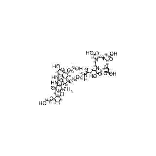 Cc1cn(Cc2c(Cl)cccc2OCCO)c(=O)c(NC(=O)NC(CC(=O)O)c2cccc(OCCO)c2)c1OCCOCCOCCNC(=O)CCC(C(=O)O)N1CCN(CC(=O)O)CCN(CC(=O)O)CCN(CC(=O)O)CC1